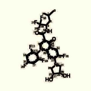 CC(C)CC(NC(=O)c1cn(-c2c(F)cc(F)cc2F)c2nc(N3C[C@@H](O)[C@@H](O)C3)c(F)cc2c1=O)C(F)(F)F